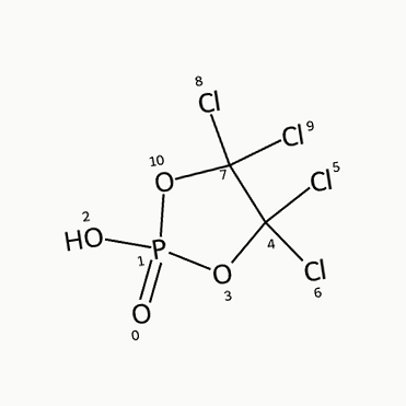 O=P1(O)OC(Cl)(Cl)C(Cl)(Cl)O1